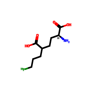 N[C@@H](CCC(CCC[18F])C(=O)O)C(=O)O